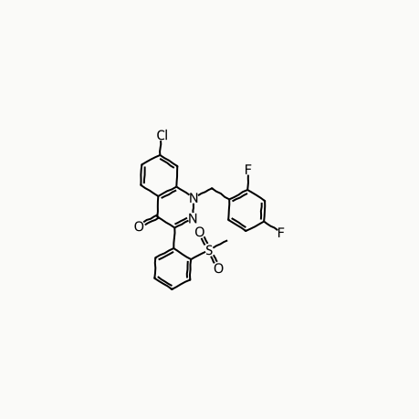 CS(=O)(=O)c1ccccc1-c1nn(Cc2ccc(F)cc2F)c2cc(Cl)ccc2c1=O